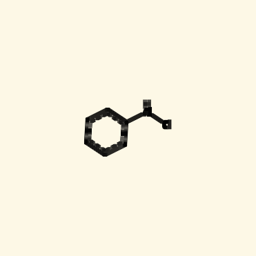 [Cl][AlH][c]1ccccc1